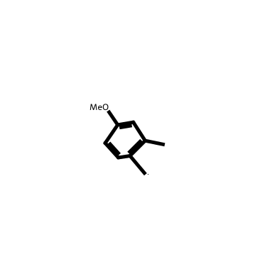 [CH2]c1ccc(OC)cc1C